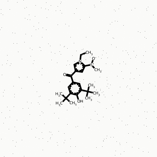 CCn1cc(C(=O)c2cc(C(C)(C)C)c(O)c(C(C)(C)C)c2)cc1[S+](C)[O-]